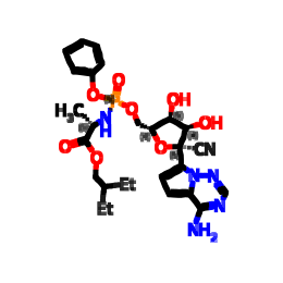 CCC(CC)COC(=O)[C@H](C)N[P@](=O)(OC[C@H]1O[C@](C#N)(c2ccc3c(N)ncnn23)[C@H](O)[C@@H]1O)Oc1ccccc1